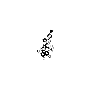 CC(C)C1=C(C(=O)N2CCC[C@H]2C(=O)N2CCN(C3CC3)CC2)SC2=N[C@@](C)(c3ccc(Cl)cc3)[C@@H](c3ccc(Cl)cc3)N21